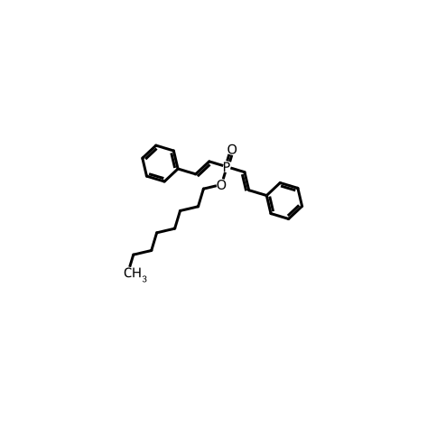 CCCCCCCCOP(=O)(C=Cc1ccccc1)C=Cc1ccccc1